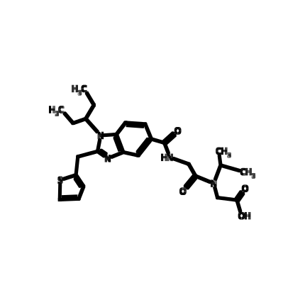 CCC(CC)n1c(Cc2cccs2)nc2cc(C(=O)NCC(=O)N(CC(=O)O)C(C)C)ccc21